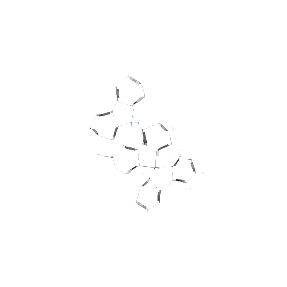 CC1C=CC(C2(c3cccc(-n4c5ccccc5c5ccccc54)c3)c3ccccc3-c3ccccc32)=CC1